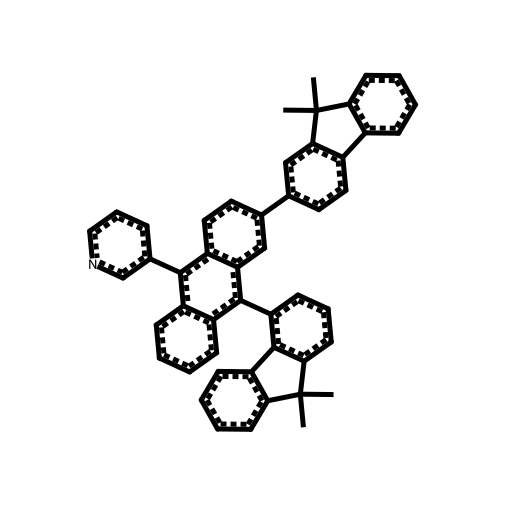 CC1(C)c2ccccc2-c2ccc(-c3ccc4c(-c5cccnc5)c5ccccc5c(-c5cccc6c5-c5ccccc5C6(C)C)c4c3)cc21